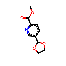 COC(=O)c1ccc(C2OCCO2)cn1